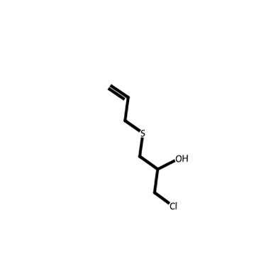 C=CCSCC(O)CCl